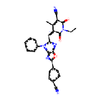 CCN1C(=O)C(C#N)=C(C)/C(=C/c2nc3oc(-c4ccc(C#N)cc4)nc3n2-c2ccccc2)C1=O